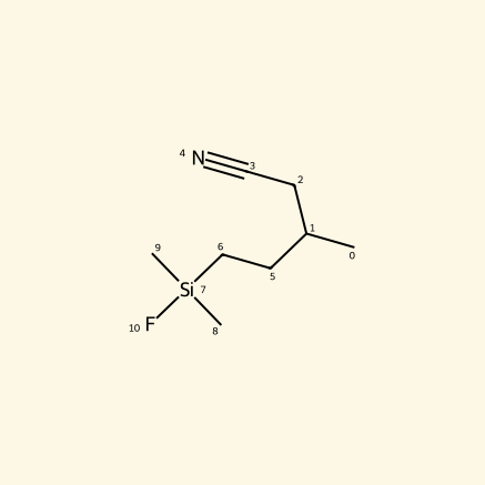 CC(CC#N)CC[Si](C)(C)F